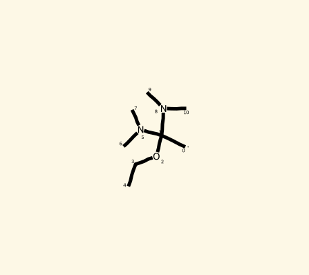 [CH2]C(OCC)(N(C)C)N(C)C